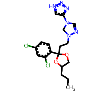 CCCC1COC(CCN2CN(c3c[nH]nn3)C=N2)(c2ccc(Cl)cc2Cl)O1